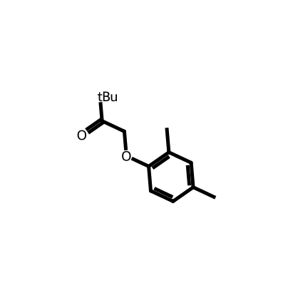 Cc1ccc(OCC(=O)C(C)(C)C)c(C)c1